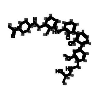 COc1cc(-c2nccc(-c3cccc(Nc4nccc(CNC5CCN(C(C)=O)CC5)c4F)c3Cl)c2Cl)ccc1CNC[C@@H](C)O